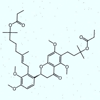 CCC(=O)OC(C)(C)CCC/C(C)=C/Cc1c([C@@H]2CC(=O)c3c(cc(OC)c(CCC(C)(C)OC(=O)CC)c3OC)O2)ccc(OC)c1OC